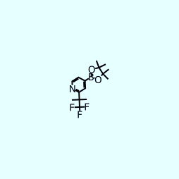 CC1(C)OB(c2ccnc(C(C)(C)C(F)(F)F)c2)OC1(C)C